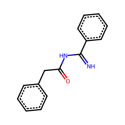 N=C(NC(=O)Cc1ccccc1)c1ccccc1